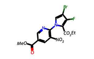 CCOC(=O)c1c(F)c(Br)cn1-c1ncc(C(=O)OC)cc1[N+](=O)[O-]